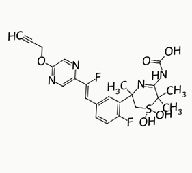 C#CCOc1cnc(C(F)=Cc2ccc(F)c(C3(C)CS(O)(O)C(C)(C)C(NC(=O)O)=N3)c2)cn1